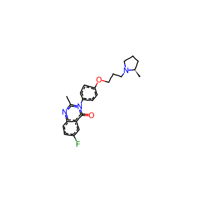 Cc1nc2ccc(F)cc2c(=O)n1-c1ccc(OCCCN2CCC[C@H]2C)cc1